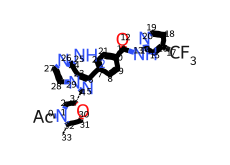 CC(=O)N1C[C@H](c2nc(-c3ccc(C(=O)Nc4cc(C(F)(F)F)ccn4)cc3)c3c(N)nccn23)OC[C@@H]1C